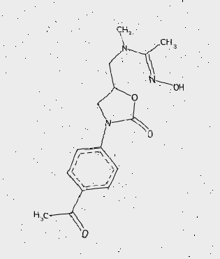 CC(=O)c1ccc(N2CC(CN(C)C(C)=NO)OC2=O)cc1